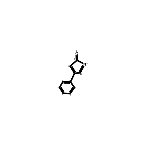 O=C1C=C(c2ccccc2)C=N1